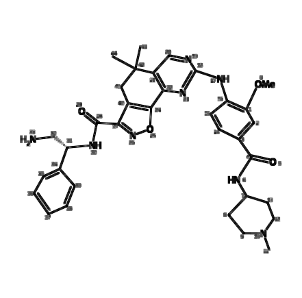 COc1cc(C(=O)NC2CCN(C)CC2)ccc1Nc1ncc2c(n1)-c1onc(C(=O)N[C@@H](CN)c3ccccc3)c1CC2(C)C